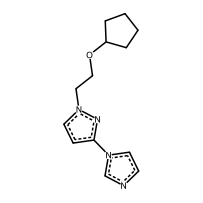 c1cn(-c2ccn(CCOC3CCCC3)n2)cn1